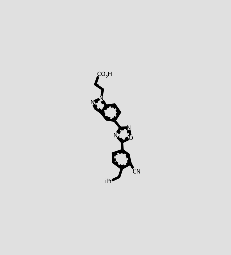 CC(C)Cc1ccc(-c2nc(-c3ccc4c(cnn4CCC(=O)O)c3)no2)cc1C#N